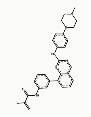 C=C(C)C(=O)Nc1cccc(-c2cccc3cnc(Nc4ccc(N5CCN(C)CC5)cc4)nc23)c1